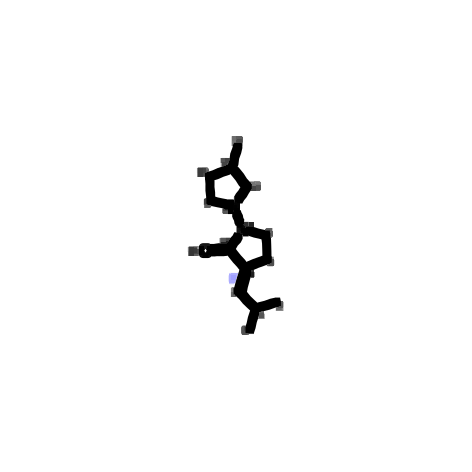 CC(C)/C=C1\CCN(N2CCC(C)C2)C1=O